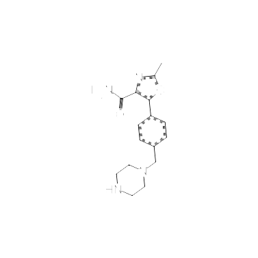 Cc1nc(C(N)=O)c(-c2ccc(CN3CCNCC3)cc2)o1